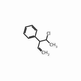 C=CC(c1ccccc1)C(C)Cl